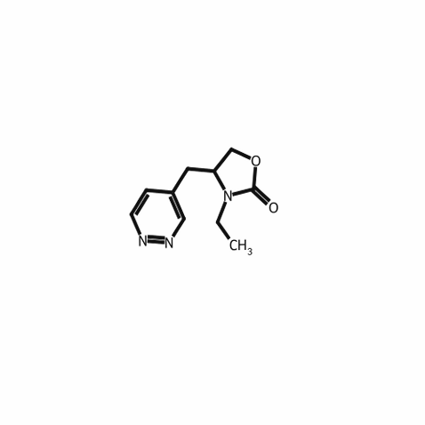 CCN1C(=O)OCC1Cc1ccnnc1